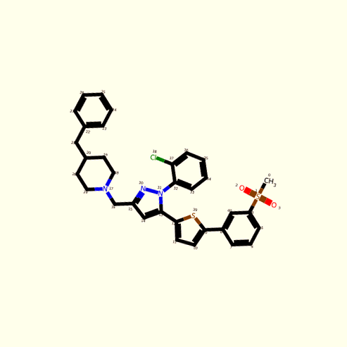 CS(=O)(=O)c1cccc(-c2ccc(-c3cc(CN4CCC(Cc5ccccc5)CC4)nn3-c3ccccc3Cl)s2)c1